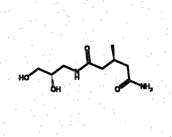 C[C@@H](CC(N)=O)CC(=O)NC[C@H](O)CO